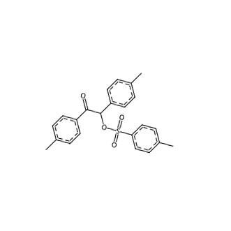 Cc1ccc(C(=O)C(OS(=O)(=O)c2ccc(C)cc2)c2ccc(C)cc2)cc1